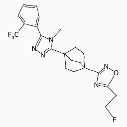 Cn1c(-c2ccccc2C(F)(F)F)nnc1C12CCC(c3noc(CCF)n3)(CC1)CC2